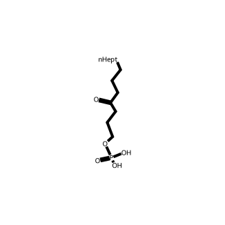 CCCCCCCCCCC(=O)CCCOP(=O)(O)O